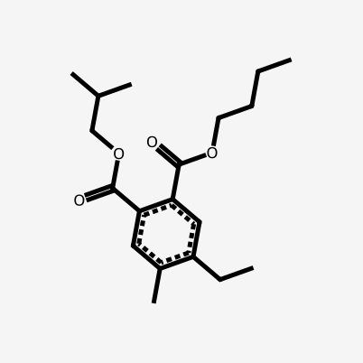 CCCCOC(=O)c1cc(CC)c(C)cc1C(=O)OCC(C)C